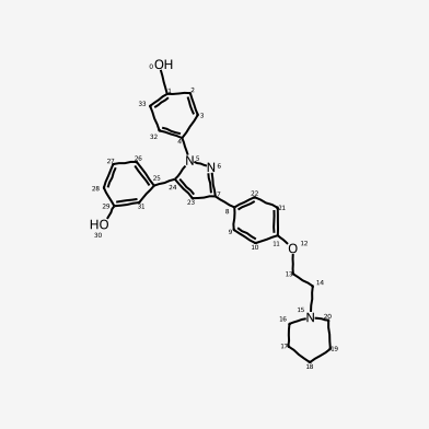 Oc1ccc(-n2nc(-c3ccc(OCCN4CCCCC4)cc3)cc2-c2cccc(O)c2)cc1